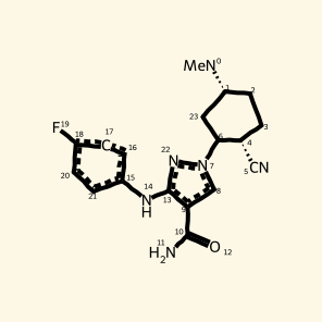 CN[C@@H]1CC[C@H](C#N)C(n2cc(C(N)=O)c(Nc3ccc(F)cc3)n2)C1